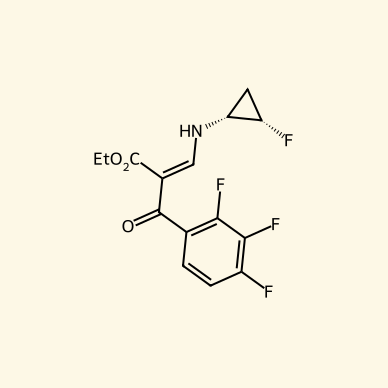 CCOC(=O)C(=CN[C@@H]1C[C@@H]1F)C(=O)c1ccc(F)c(F)c1F